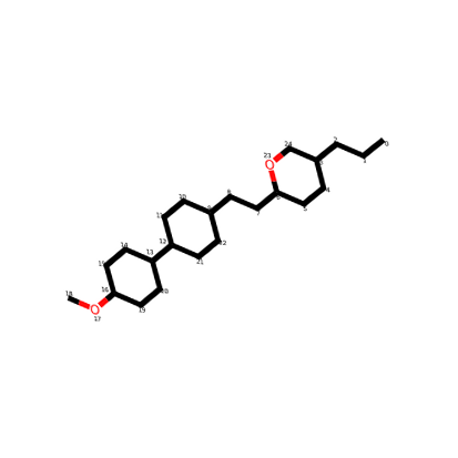 CCCC1CCC(CCC2CCC(C3CCC(OC)CC3)CC2)OC1